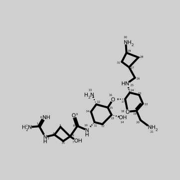 N=C(N)NC1CC(O)(C(=O)N[C@H]2C[C@@H](O)C(O[C@H]3OC(CN)=CC[C@H]3NCC3CC(N)C3)[C@@H](N)C2)C1